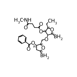 B[C@@H]1O[C@H](CC)[C@H](OC(=O)CCC(=O)NC)C1OC[C@H]1O[C@@H](B)C[C@H]1OC(=O)c1ccccc1